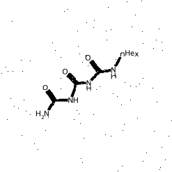 CCCCCCNC(=O)NC(=O)NC(N)=O